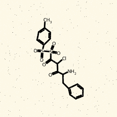 Cc1ccc(S(=O)(=O)S(=O)(=O)C(=O)C(Cl)C(=O)C(N)Cc2ccccc2)cc1